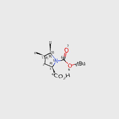 C[C@@H]1C[C@H](C(=O)O)N(C(=O)OC(C)(C)C)[C@@H]1C